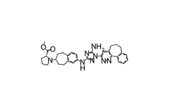 COC(=O)[C@@H]1CCCN1C1CCc2ccc(Nc3nc(N)n(-c4cc5c(nn4)-c4ccccc4CCC5)n3)cc2CC1